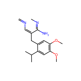 C=N/C=C(Cc1cc(OC)c(OC)cc1C(C)C)\C(N)=N/C